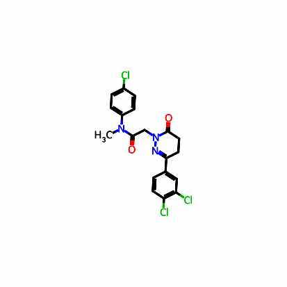 CN(C(=O)CN1N=C(c2ccc(Cl)c(Cl)c2)CCC1=O)c1ccc(Cl)cc1